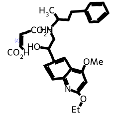 CCOc1cc(OC)c2cc(C(O)CNC(C)CCc3ccccc3)ccc2n1.O=C(O)/C=C\C(=O)O